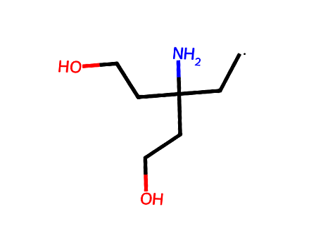 [CH2]CC(N)(CCO)CCO